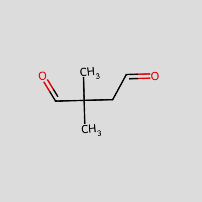 CC(C)(C=O)CC=O